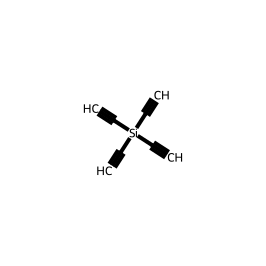 C#C[Si](C#C)(C#C)C#C